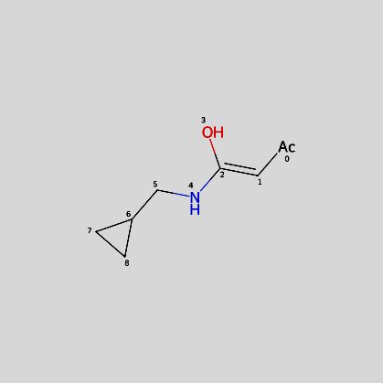 CC(=O)/C=C(\O)NCC1CC1